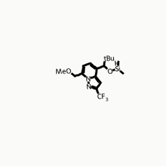 COCc1ccc(C(O[SiH](C)C)C(C)(C)C)c2cc(C(F)(F)F)nn12